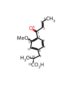 C/C=C/C(=O)c1ccc(C[C@H](C)C(=O)O)cc1OC